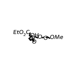 CCOC(=O)CCC1(O)C=CC(=O)N1CCOCCOCCOC